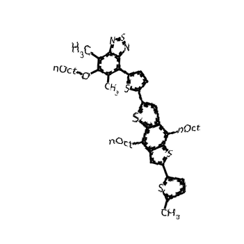 CCCCCCCCOc1c(C)c(-c2ccc(-c3cc4c(CCCCCCCC)c5sc(-c6ccc(C)s6)cc5c(CCCCCCCC)c4s3)s2)c2nsnc2c1C